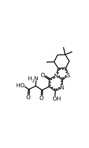 CC1CC(C)(C)Cc2sc3nc(O)c(C(=O)C(N)C(=O)O)c(=O)n3c21